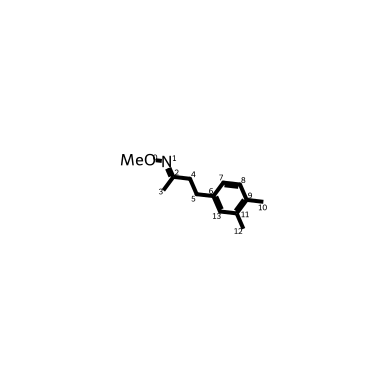 CO/N=C(\C)CCc1ccc(C)c(C)c1